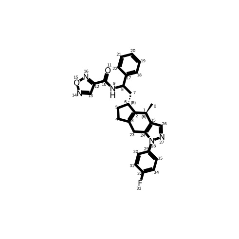 C[C@@H]1C2=C(CC[C@@H]2CC(NC(=O)c2cnon2)c2ccccc2)Cc2c1cnn2-c1ccc(F)cc1